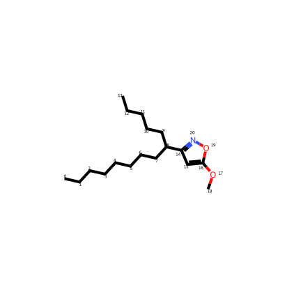 CCCCCCCCC(CCCCC)c1cc(OC)on1